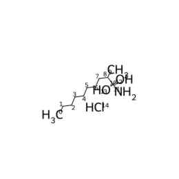 CCCCCCCCC(C)C(N)(O)O.Cl